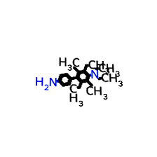 CCc1c(CC)c(N(CC)CC)c(CC)c(CC)c1-c1ccc(N)cc1